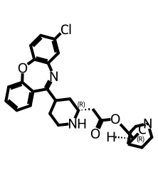 O=C(C[C@H]1CC(C2=Nc3cc(Cl)ccc3Oc3ccccc32)CCN1)O[C@H]1CN2CCC1CC2